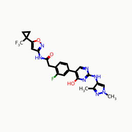 Cc1nn(C)cc1Nc1ncc(-c2ccc(CC(=O)Nc3cc(C4(C(F)(F)F)CC4)on3)c(F)c2)c(O)n1